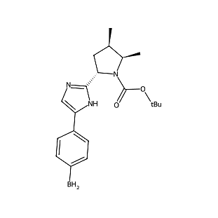 Bc1ccc(-c2cnc([C@@H]3C[C@@H](C)[C@@H](C)N3C(=O)OC(C)(C)C)[nH]2)cc1